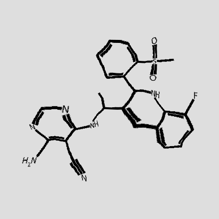 CC(Nc1ncnc(N)c1C#N)C1=Cc2cccc(F)c2NC1c1ccccc1S(C)(=O)=O